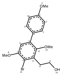 COc1ccc(-c2cc(OC)c(Br)c(CCO)c2OC)cc1